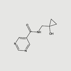 O=C(NCC1(O)CC1)c1cncnc1